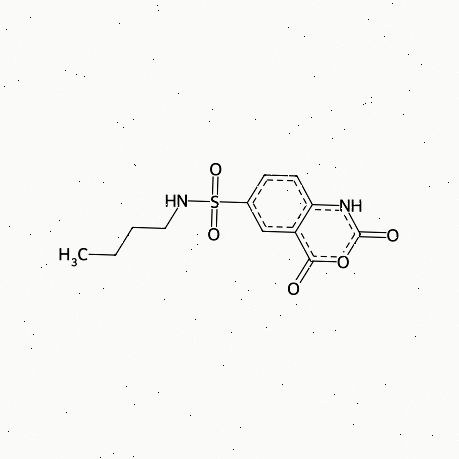 CCCCNS(=O)(=O)c1ccc2[nH]c(=O)oc(=O)c2c1